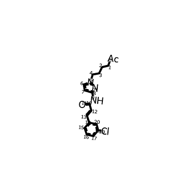 CC(=O)CCCCn1ccc(NC(=O)/C=C/c2cccc(Cl)c2)n1